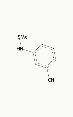 CSNc1cccc(C#N)c1